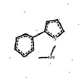 CNC.c1ccc(-c2cccs2)cc1